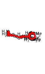 CO[C@H]1C[C@@H]2CC[C@@H](C)[C@@](O)(O2)C(=O)C(=O)N2CCCC[C@H]2C(=O)O[C@H]([C@H](N)C[C@@H]2CC[C@@H](OC(=O)NCc3cnc(N4CCN(c5ncc(C(=O)NCCOCCOCCOCCC(=O)N6CCc7cc(Cn8nc(-c9ccc%10oc(N)nc%10c9)c9c(N)ncnc98)ccc7C6)cn5)CC4)nc3)[C@H](OC)C2)CC(=O)[C@H](C)/C=C(\C)[C@@H](O)[C@@H](OC)C(=O)[C@H](C)C[C@H](C)/C=C/C=C/C=C/1C